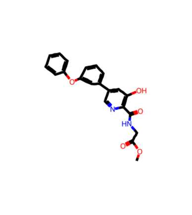 COC(=O)CNC(=O)c1ncc(-c2cccc(Oc3ccccc3)c2)cc1O